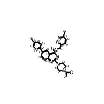 CC(=O)N1CCN(c2nc(NCc3ccc(C)nn3)c3cc(-c4ccc(C)cn4)cnc3n2)CC1